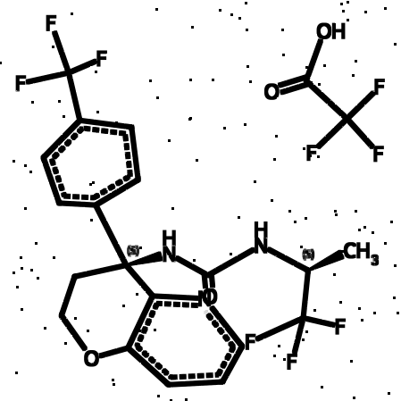 C[C@H](NC(=O)N[C@]1(c2ccc(C(F)(F)F)cc2)CCOc2cccnc21)C(F)(F)F.O=C(O)C(F)(F)F